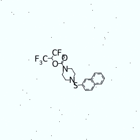 O=C(OC(C(F)(F)F)C(F)(F)F)N1CCN(Sc2ccc3ccccc3c2)CC1